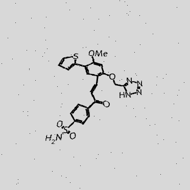 COc1cc(OCc2nnn[nH]2)c(C=CC(=O)c2ccc(S(N)(=O)=O)cc2)cc1-c1cccs1